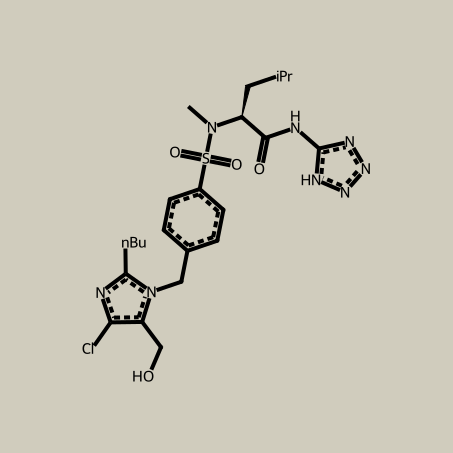 CCCCc1nc(Cl)c(CO)n1Cc1ccc(S(=O)(=O)N(C)[C@@H](CC(C)C)C(=O)Nc2nnn[nH]2)cc1